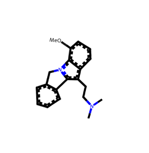 COc1cccc2c(CCN(C)C)c3n(c12)Cc1ccccc1-3